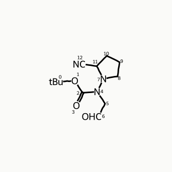 CC(C)(C)OC(=O)N(CC=O)N1CCCC1C#N